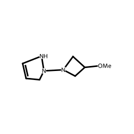 COC1CN(N2CC=CN2)C1